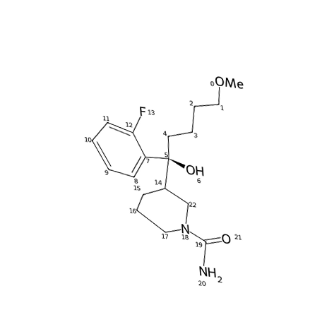 COCCCC[C@@](O)(c1ccccc1F)C1CCCN(C(N)=O)C1